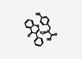 N[C@@H](Cc1ccc(O)cc1)C(=O)O.O=c1c(-c2ccccc2)coc2ccccc12